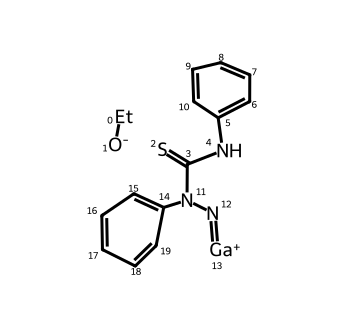 CC[O-].S=C(Nc1ccccc1)N([N]=[Ga+])c1ccccc1